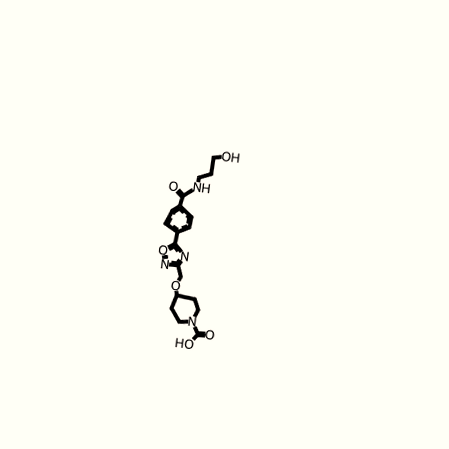 O=C(NCCCO)c1ccc(-c2nc(COC3CCN(C(=O)O)CC3)no2)cc1